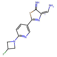 N=C1SC(c2ccc(N3CC(F)C3)nc2)=N/C1=C/N